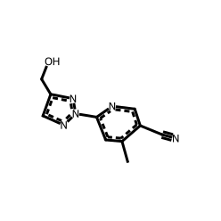 Cc1cc(-n2ncc(CO)n2)ncc1C#N